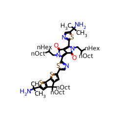 CCCCCCCCC(CCCCCC)CN1C(=O)C2=C(c3ncc(C(C)(C)N)s3)N(CC(CCCCCC)CCCCCCCC)C(=O)C2=C1c1ncc(-c2cc3c(s2)-c2sc(C(C)(C)N)cc2C3(CCCCCCCC)CCCCCCCC)s1